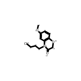 COc1ccc2c(c1)N(CCCCl)C(=O)CO2